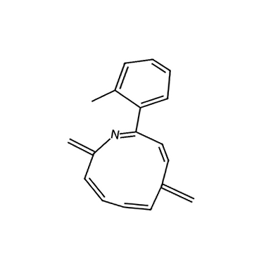 C=c1ccccc(=C)nc(-c2ccccc2C)cc1